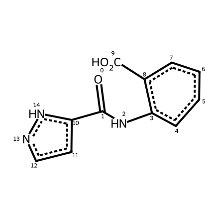 O=C(Nc1ccccc1C(=O)O)c1ccn[nH]1